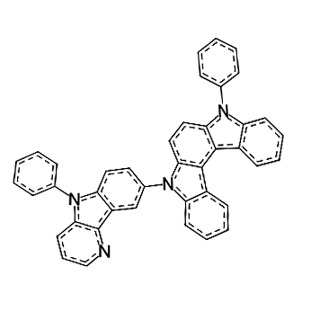 c1ccc(-n2c3ccc(-n4c5ccccc5c5c6c7ccccc7n(-c7ccccc7)c6ccc54)cc3c3ncccc32)cc1